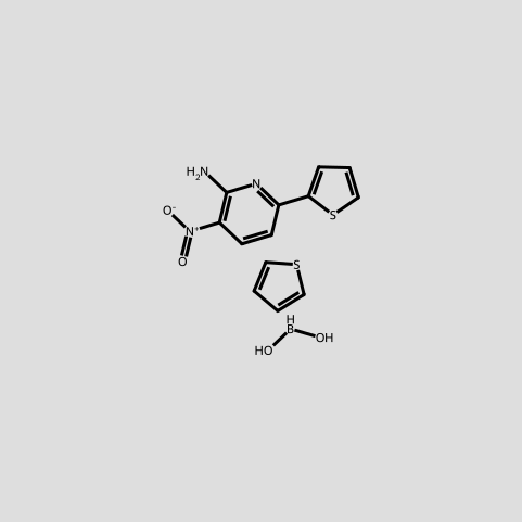 Nc1nc(-c2cccs2)ccc1[N+](=O)[O-].OBO.c1ccsc1